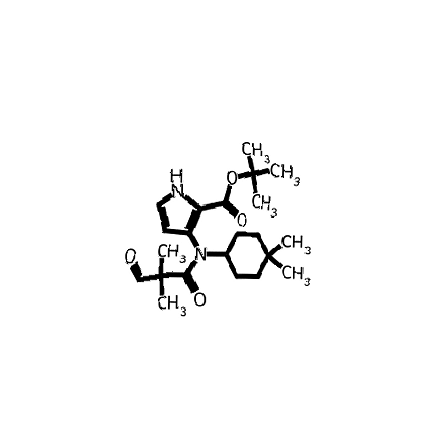 CC1(C)CCC(N(C(=O)C(C)(C)C=O)c2cc[nH]c2C(=O)OC(C)(C)C)CC1